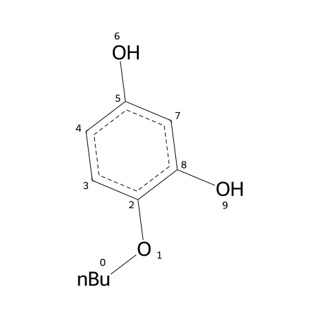 CCCCOc1ccc(O)cc1O